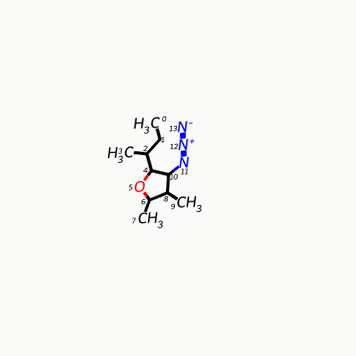 CCC(C)C1OC(C)C(C)C1N=[N+]=[N-]